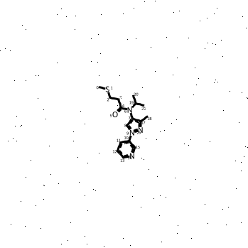 CSCCC(=O)N(c1cn(-c2cccnc2)nc1C)C(C)C